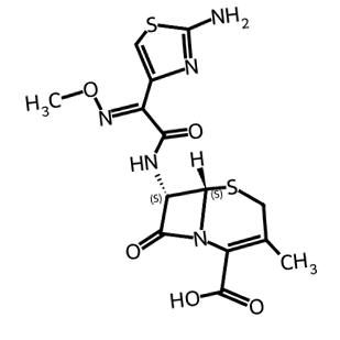 CON=C(C(=O)N[C@H]1C(=O)N2C(C(=O)O)=C(C)CS[C@@H]12)c1csc(N)n1